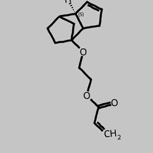 C=CC(=O)OCCOC12CCC(C1)[C@H]1C=CCC12